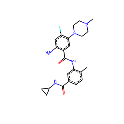 Cc1ccc(C(=O)NC2CC2)cc1NC(=O)c1cc(N2CCN(C)CC2)c(F)cc1N